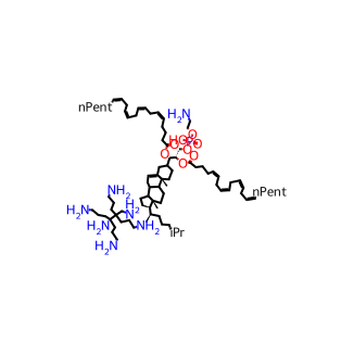 CCCCC/C=C\C/C=C\C/C=C\C/C=C\CCCC(=O)OC(C1CC[C@@]2(C)C(=CCC3C2CC[C@@]2(C)C3CC[C@@H]2[C@H](C)CCCC(C)C)C1)[C@H](COP(=O)(O)OCCN)OC(=O)CCC/C=C\C/C=C\C/C=C\C/C=C\CCCCC.NCCCC(N)(CCCN)C(CN)(CCCN)CCCN